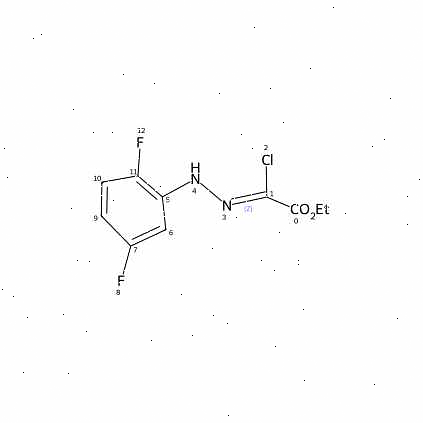 CCOC(=O)/C(Cl)=N/Nc1cc(F)ccc1F